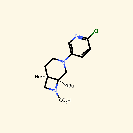 CC(C)(C)[C@@]12CN(c3ccc(Cl)nc3)CC[C@@H]1CN2C(=O)O